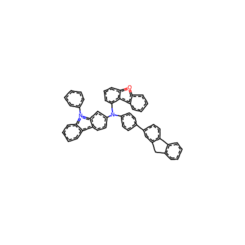 c1ccc(-n2c3ccccc3c3ccc(N(c4ccc(-c5ccc6c(c5)Cc5ccccc5-6)cc4)c4cccc5oc6ccccc6c45)cc32)cc1